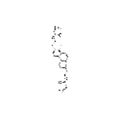 C=CC(=O)OCCc1ccc2c(ccc3c(F)c(CCOC(=O)C=C)ccc32)c1